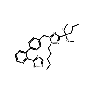 CCCCCn1nc(C(CCC)(OC)OC)nc1Cc1ccc(-c2cccnc2-c2nnn[nH]2)cc1